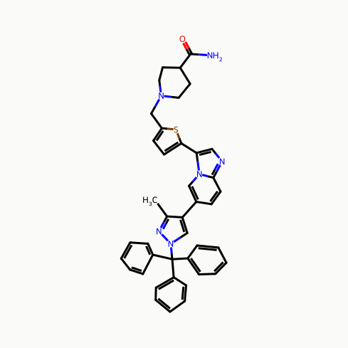 Cc1nn(C(c2ccccc2)(c2ccccc2)c2ccccc2)cc1-c1ccc2ncc(-c3ccc(CN4CCC(C(N)=O)CC4)s3)n2c1